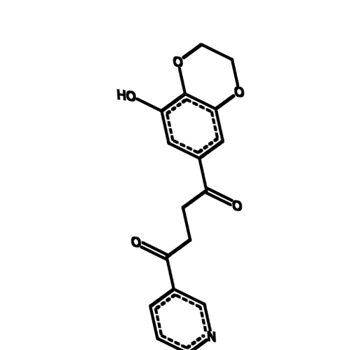 O=C(CCC(=O)c1cc(O)c2c(c1)OCCO2)c1cccnc1